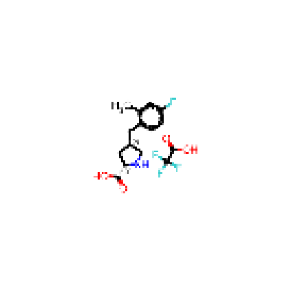 Cc1cc(F)ccc1C[C@H]1CN[C@H](C(=O)O)C1.O=C(O)C(F)(F)F